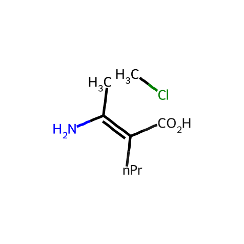 CCCC(C(=O)O)=C(C)N.CCl